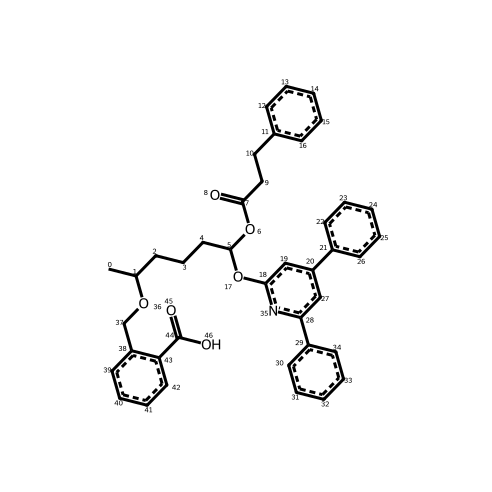 CC(CCCC(OC(=O)CCc1ccccc1)Oc1cc(-c2ccccc2)cc(-c2ccccc2)n1)OCc1ccccc1C(=O)O